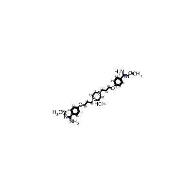 CO/N=C(\N)c1ccc(OCCCN2CCN(CCCOc3ccc(/C(N)=N\OC)cc3)CC2)cc1.Cl